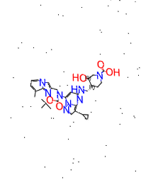 Cc1cccn2cc(CN(C(=O)OC(C)(C)C)c3cc(NC[C@H]4CCN(C(=O)O)C[C@@H]4O)nc4c(C5CC5)cnn34)nc12